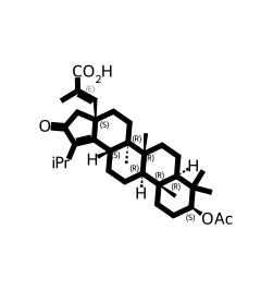 CC(=O)O[C@H]1CC[C@]2(C)[C@H]3CC[C@@H]4C5=C(C(C)C)C(=O)C[C@]5(/C=C(\C)C(=O)O)CC[C@@]4(C)[C@]3(C)CC[C@H]2C1(C)C